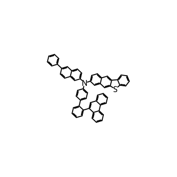 c1ccc(-c2ccc3cc(N(c4ccc(-c5ccccc5-c5cc6ccccc6c6ccccc56)cc4)c4ccc5cc6c(cc5c4)sc4ccccc46)ccc3c2)cc1